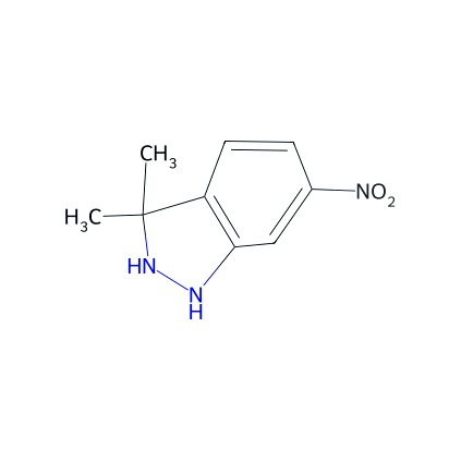 CC1(C)NNc2cc([N+](=O)[O-])ccc21